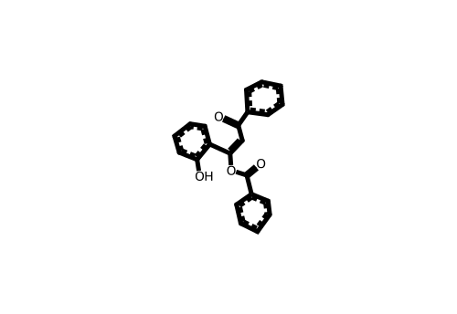 O=C(C=C(OC(=O)c1ccccc1)c1ccccc1O)c1ccccc1